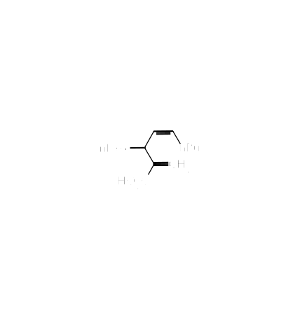 C=C(C(=O)O)C(/C=C\CCCC)CCCCCC